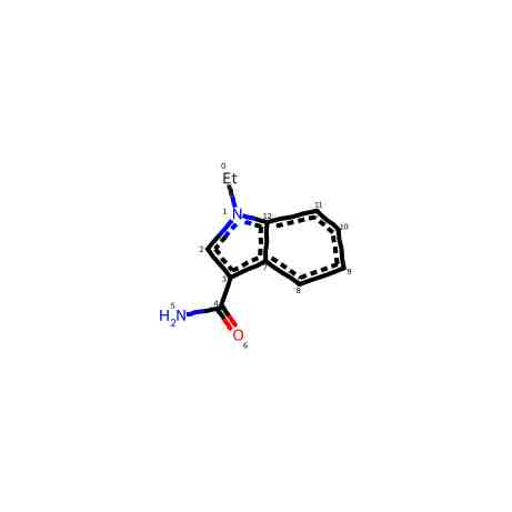 CCn1cc(C(N)=O)c2ccccc21